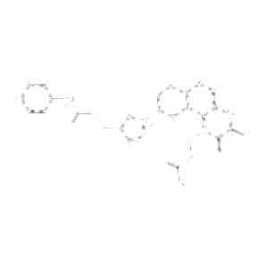 O=C(O)CCn1c(=O)c(=O)[nH]c2ccc3ccc(-n4ccc(CNC(=O)Nc5ccccc5)c4)cc3c21